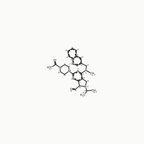 CC(=O)N1CCN(c2nc3c(c(N(C)Cc4cnc5ccccc5c4)n2)CN(C(C)C)C3C=O)CC1